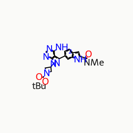 CNC(=O)c1cc2ccc(-c3nn(C4CN(C(=O)OC(C)(C)C)C4)c4ncnc(N)c34)cc2[nH]1